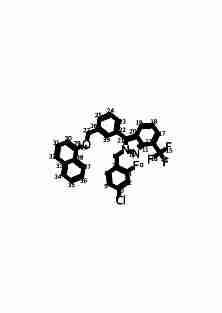 Fc1cc(Cl)ccc1Cn1nc2c(C(F)(F)F)cccc2c1-c1cccc(COc2cccc3ccccc23)c1